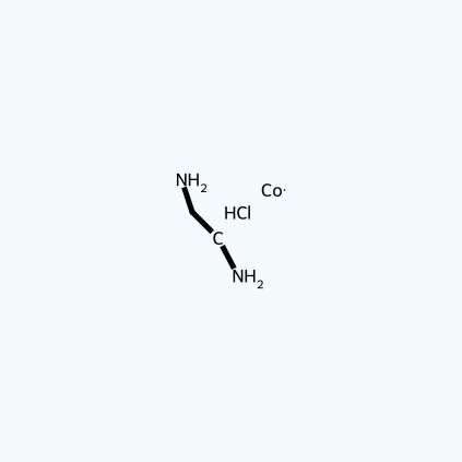 Cl.NCCN.[Co]